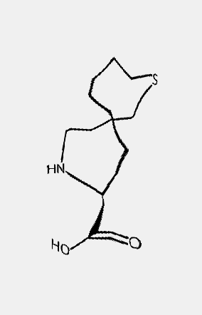 O=C(O)[C@@H]1CC2(CCSC2)CN1